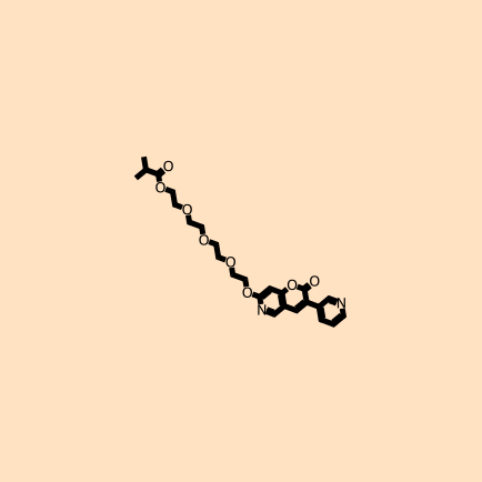 CC(C)C(=O)OCCOCCOCCOCCOc1cc2oc(=O)c(-c3cccnc3)cc2cn1